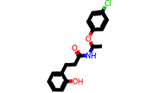 CC(NC(=O)CCc1ccccc1O)Oc1ccc(Cl)cc1